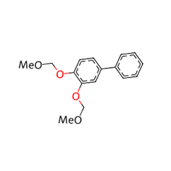 COCOc1ccc(-c2ccccc2)cc1OCOC